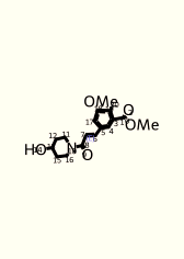 COC(=O)c1cc(/C=C/C(=O)N2CCC(O)CC2)ccc1OC